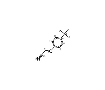 CC(C)(C)c1ccc(OCC#N)cc1